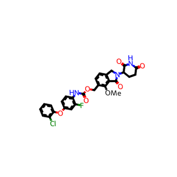 COc1c(COC(=O)Nc2ccc(Oc3ccccc3Cl)cc2F)ccc2c1C(=O)N(C1CCC(=O)NC1=O)C2